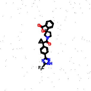 O=C1O[C@]2(CCN(C(=O)C3(c4ccc(-c5n[nH]c(C(F)(F)F)n5)cc4)CC3)C2)c2ccccc21